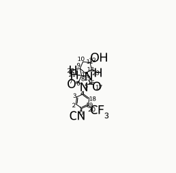 N#Cc1ccc(N2C(=O)[C@@H]3[C@@H]4C[C@@H](O)[C@@H](C4)N3C2=O)cc1C(F)(F)F